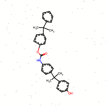 CC(C)(c1ccc(O)cc1)c1ccc(NC(=O)Oc2ccc(C(C)(C)c3ccccc3)cc2)cc1